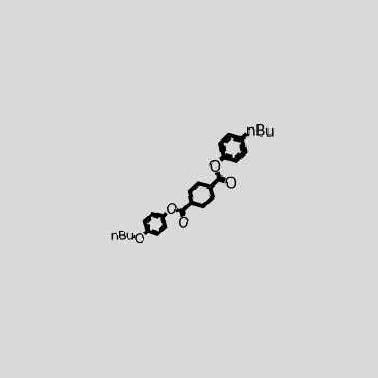 CCCCOc1ccc(OC(=O)C2CCC(C(=O)Oc3ccc(CCCC)cc3)CC2)cc1